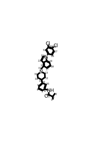 CC(C)C(=O)Nc1cccc(C2CCN(Cc3cccc4c3ccn4-c3ccc(Cl)c(Cl)c3)CC2)c1